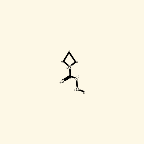 COSC(=S)N1CCC1